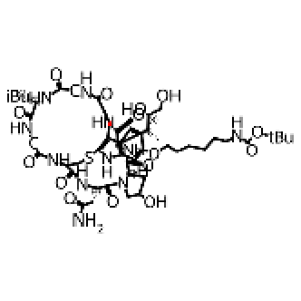 CC[C@H](C)[C@@H]1NC(=O)CNC(=O)C2Cc3c([nH]c4cc(OCCCCCCNC(=O)OC(C)(C)C)ccc34)SCC(NC(=O)CNC1=O)C(=O)N[C@@H](CC(N)=O)C(=O)N1CC(O)C[C@H]1C(=O)N[C@@H]([C@@H](C)[C@@H](O)CO)C(=O)N2